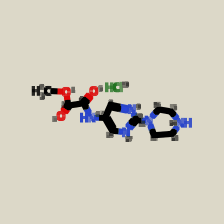 COC(=O)C(=O)Nc1cnc(N2CCNCC2)nc1.Cl